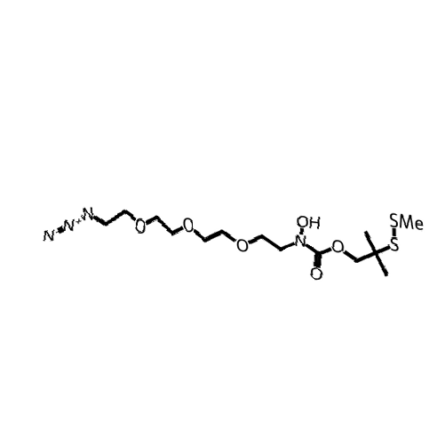 CSSC(C)(C)COC(=O)N(O)CCOCCOCCOCCN=[N+]=[N-]